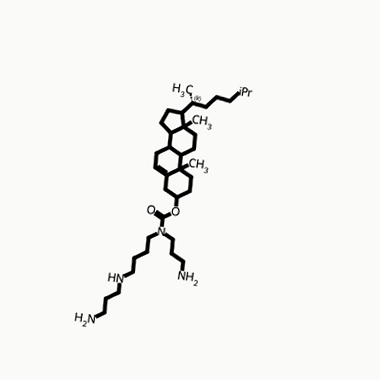 CC(C)CCC[C@@H](C)C1CCC2C3CC=C4CC(OC(=O)N(CCCN)CCCCNCCCN)CCC4(C)C3CCC21C